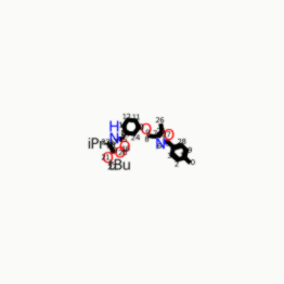 Cc1ccc(-c2nc(CO[C@@H]3CCC[C@H](C(=O)N[C@@H](C(=O)OC(C)(C)C)C(C)C)C3)c(C)o2)cc1